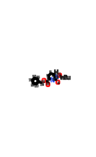 CCCCON1C(=O)N2C[C@H]1CC[C@H]2C(=O)OCc1ccccc1